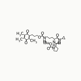 CC1=C(C)C(=O)C(CCCOC(=O)NCCCC(NC(=O)C2CCCN2C(=O)OC(C)(C)C)C(=O)NC2CC2)=C(C)C1=O